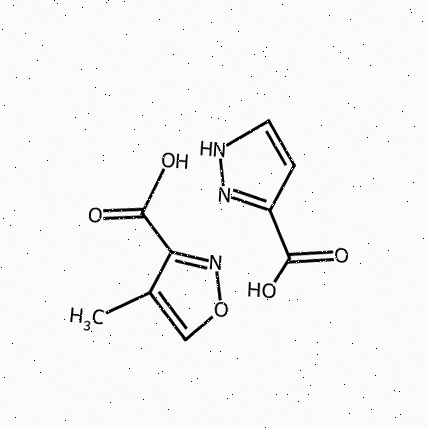 Cc1conc1C(=O)O.O=C(O)c1cc[nH]n1